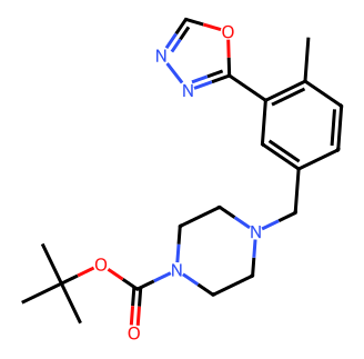 Cc1ccc(CN2CCN(C(=O)OC(C)(C)C)CC2)cc1-c1nnco1